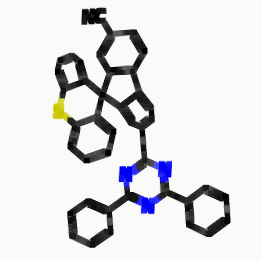 N#Cc1ccc2c(c1)C1(c3ccccc3Sc3ccccc31)c1cc(-c3nc(-c4ccccc4)nc(-c4ccccc4)n3)ccc1-2